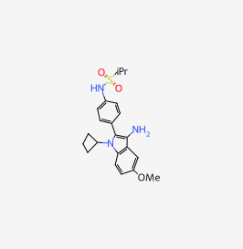 COc1ccc2c(c1)c(N)c(-c1ccc(NS(=O)(=O)C(C)C)cc1)n2C1CCC1